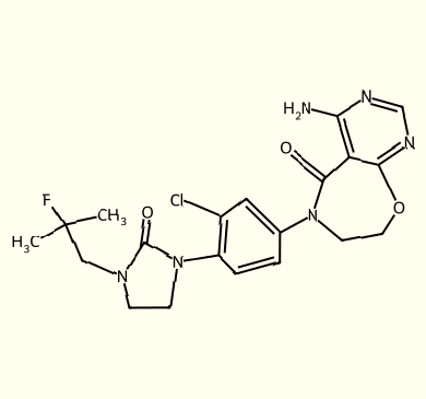 CC(C)(F)CN1CCN(c2ccc(N3CCOc4ncnc(N)c4C3=O)cc2Cl)C1=O